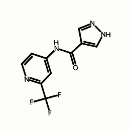 O=C(Nc1ccnc(C(F)(F)F)c1)c1cn[nH]c1